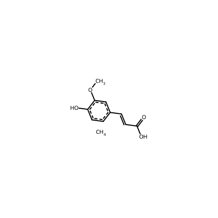 C.COc1cc(C=CC(=O)O)ccc1O